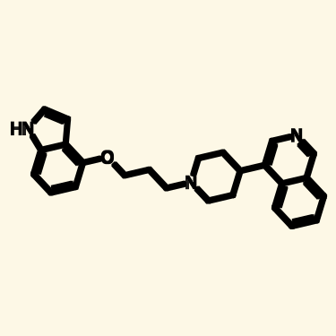 c1ccc2c(C3CCN(CCCOc4cccc5[nH]ccc45)CC3)cncc2c1